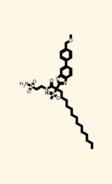 CCCCCCCCCCCCCCC(C(=O)NCCS(N)(=O)=O)(c1nc2ccc(-c3ccc(COC)cc3)cc2s1)S(C)(=O)=O